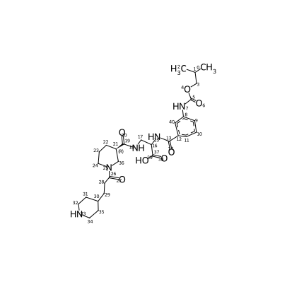 CC(C)COC(=O)Nc1cccc(C(=O)NC(CNC(=O)[C@@H]2CCCN(C(=O)CCC3CCNCC3)C2)C(=O)O)c1